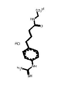 Cl.N=C(N)Nc1ccc(CCCC(=O)NCC(=O)O)cc1